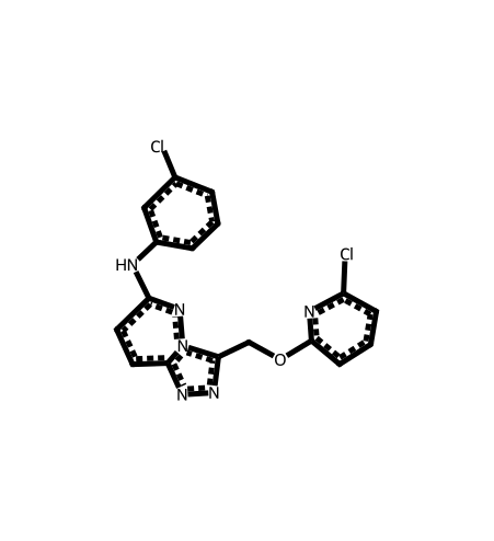 Clc1cccc(Nc2ccc3nnc(COc4cccc(Cl)n4)n3n2)c1